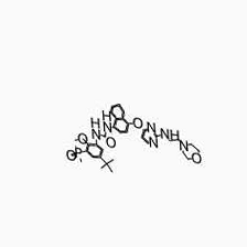 COc1c(NC(=O)Nc2ccc(Oc3ccnc(NCCN4CCOCC4)n3)c3ccccc23)cc(C(C)(C)C)cc1P(C)(C)=O